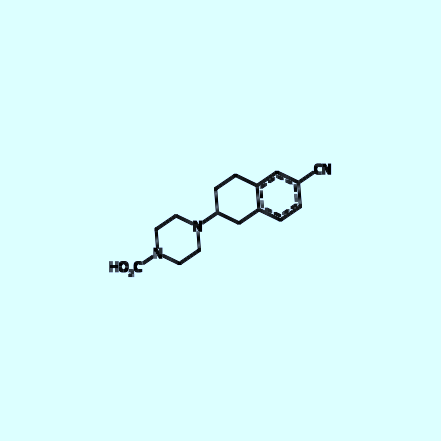 N#Cc1ccc2c(c1)CCC(N1CCN(C(=O)O)CC1)C2